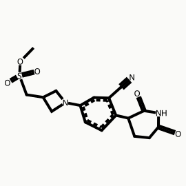 COS(=O)(=O)CC1CN(c2ccc(C3CCC(=O)NC3=O)c(C#N)c2)C1